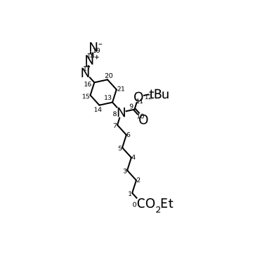 CCOC(=O)CCCCCCCN(C(=O)OC(C)(C)C)C1CCC(N=[N+]=[N-])CC1